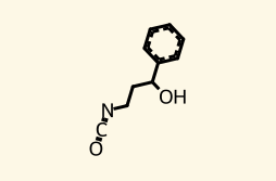 O=C=NCCC(O)c1ccccc1